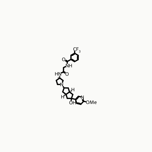 COc1ccc(C2(O)C[C@H]3CC(N4CC[C@@H](NC(=O)CNC(=O)c5cccc(C(F)(F)F)c5)C4)C[C@H]3C2)cn1